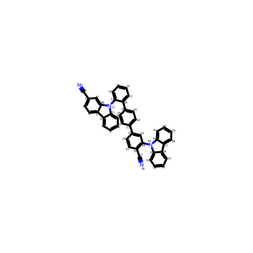 N#Cc1ccc2c3ccccc3n(-c3ccccc3-c3ccc(-c4ccc(C#N)c(-n5c6ccccc6c6ccccc65)c4)cc3)c2c1